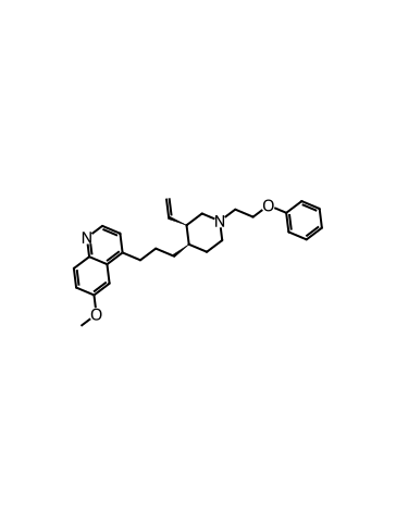 C=C[C@H]1CN(CCOc2ccccc2)CC[C@H]1CCCc1ccnc2ccc(OC)cc12